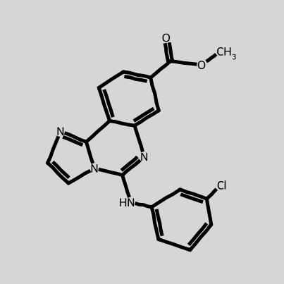 COC(=O)c1ccc2c(c1)nc(Nc1cccc(Cl)c1)n1ccnc21